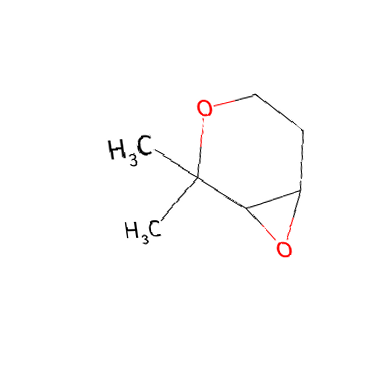 CC1(C)OCCC2OC21